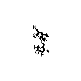 CC[C@H]1C(COc2nccc3cc(C#N)c(OC)nc23)NC(=O)[C@H]1F